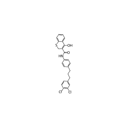 O=C(Nc1ccc(CCCc2ccc(Cl)c(Cl)c2)cc1)C1=C(O)c2ccccc2SC1